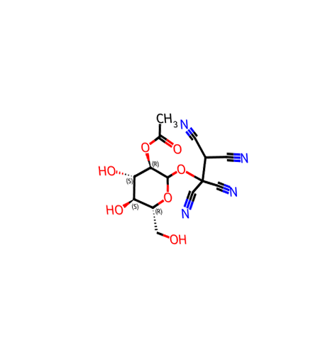 CC(=O)O[C@H]1C(OC(C#N)(C#N)C(C#N)C#N)O[C@H](CO)[C@@H](O)[C@@H]1O